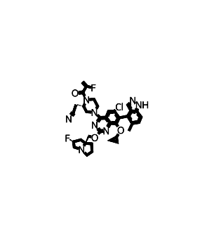 C=C(F)C(=O)N1CCN(c2nc(OC[C@@]34CCCN3C[C@H](F)C4)nc3c(OC4CC4)c(-c4c(C)ccc5[nH]ncc45)c(Cl)cc23)C[C@@H]1CC#N